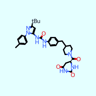 Cc1ccc(-n2nc(C(C)(C)C)cc2NC(=O)Nc2ccc(CC3CCN(C(=O)[C@@H]4CC(=O)NC(=O)N4)CC3)cc2)cc1